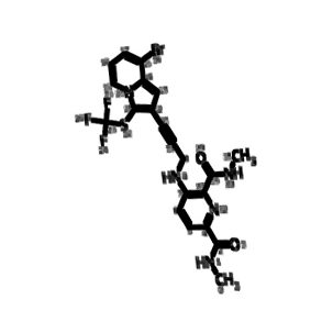 CNC(=O)c1ccc(NCC#Cc2cc3c(Br)cccn3c2SC(F)(F)F)c(C(=O)NC)n1